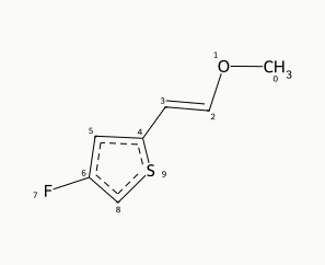 COC=Cc1cc(F)cs1